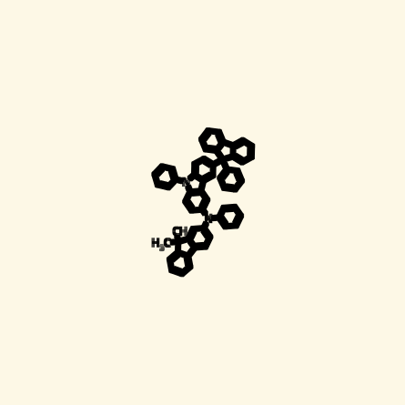 CC1(C)c2ccccc2-c2ccc(N(c3ccccc3)c3ccc4c(c3)c3cc(C5(c6ccccc6)c6ccccc6-c6ccccc65)ccc3n4-c3ccccc3)cc21